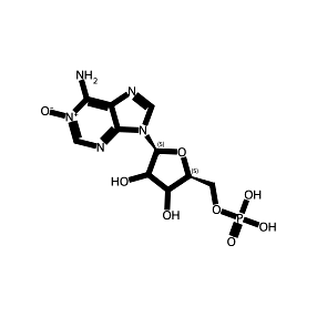 Nc1c2ncn([C@H]3O[C@@H](COP(=O)(O)O)C(O)C3O)c2nc[n+]1[O-]